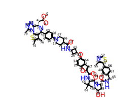 COC(=O)C[C@@H]1N=C(c2ccc(N3CCC(C(=O)N[C@H]4C[C@@H](Oc5ccc6oc(C(=O)NC(C(=O)N7C[C@H](O)C[C@H]7C(=O)N[C@@H](C)c7ccc(-c8scnc8C)cc7)C(C)(C)C)cc6c5)C4)CC3)cc2)c2c(sc(C)c2C)-n2c(C)nnc21